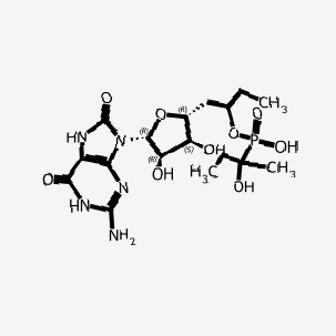 CCC(C[C@H]1O[C@@H](n2c(=O)[nH]c3c(=O)[nH]c(N)nc32)[C@H](O)[C@@H]1O)OP(=O)(O)C(C)(O)CC